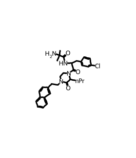 CCCC1C(=O)N(CCc2ccc3ccccc3c2)CCN1C(=O)C(Cc1ccc(Cl)cc1)NC(=O)C(C)(C)N